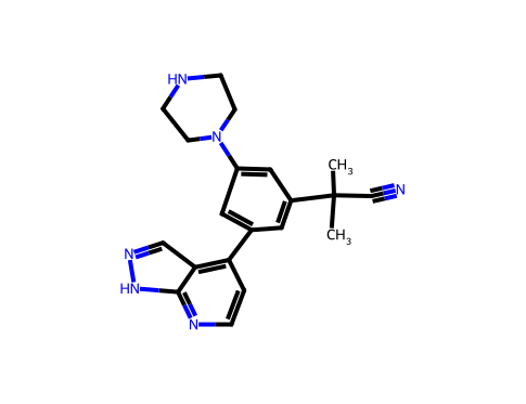 CC(C)(C#N)c1cc(-c2ccnc3[nH]ncc23)cc(N2CCNCC2)c1